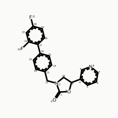 O=C1OC(c2cccnc2)CN1Cc1ccc(-c2ccc(F)cc2F)cc1